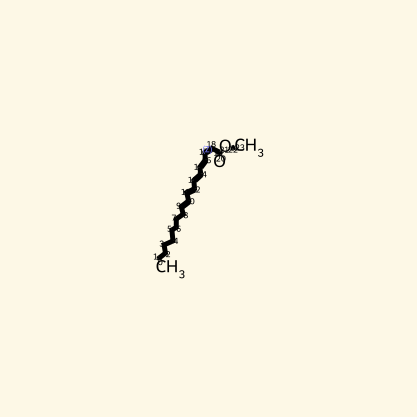 CCCCCCCCCC=CC=CC=CC=C/C=C\C(=O)OCC